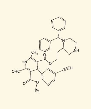 C#Cc1cccc(C2C(C(=O)OCCC3CNCCN3C(c3ccccc3)c3ccccc3)=C(C)NC(C=O)=C2C(=O)OC(C)C)c1